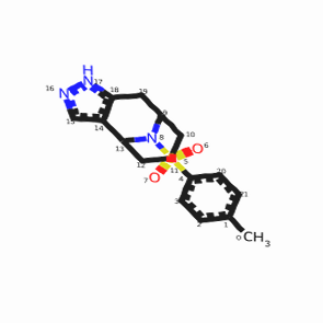 Cc1ccc(S(=O)(=O)N2C3CCCC2c2cn[nH]c2C3)cc1